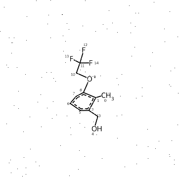 Cc1c([CH]O)cccc1OCC(F)(F)F